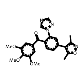 COc1cc(C(=O)c2ccc(-c3c(C)noc3C)cc2-n2cncn2)cc(OC)c1OC